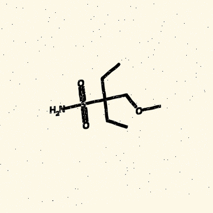 CCC(CC)(COC)S(N)(=O)=O